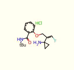 CC(C)(C)NC(=O)c1ccccc1OC/C(=C/F)C1(N)CC1.Cl